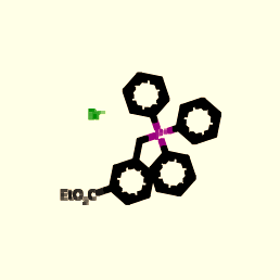 CCOC(=O)c1cccc(C[P+](c2ccccc2)(c2ccccc2)c2ccccc2)c1.[Br-]